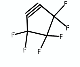 FC1(F)C#CC(F)(F)C1(F)F